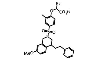 CCC(Oc1ccc(S(=O)(=O)N2Cc3cc(OC)ccc3C(CCc3ccccc3)C2)cc1C)C(=O)O